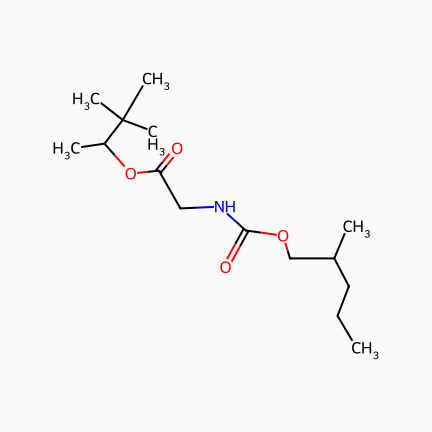 CCCC(C)COC(=O)NCC(=O)OC(C)C(C)(C)C